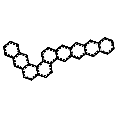 c1ccc2cc3cc4cc5c(ccc6c5ccc5ccc7cc8ccccc8cc7c56)cc4cc3cc2c1